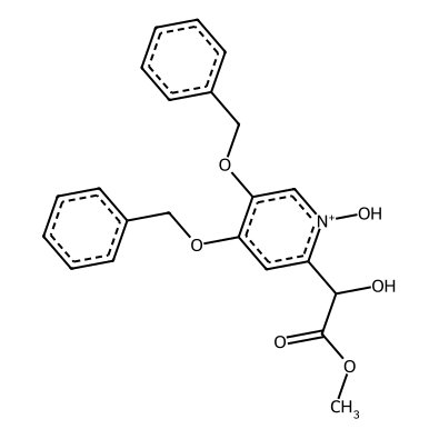 COC(=O)C(O)c1cc(OCc2ccccc2)c(OCc2ccccc2)c[n+]1O